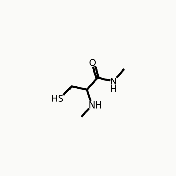 CNC(=O)C(CS)NC